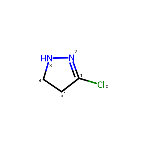 ClC1=NNC[C]1